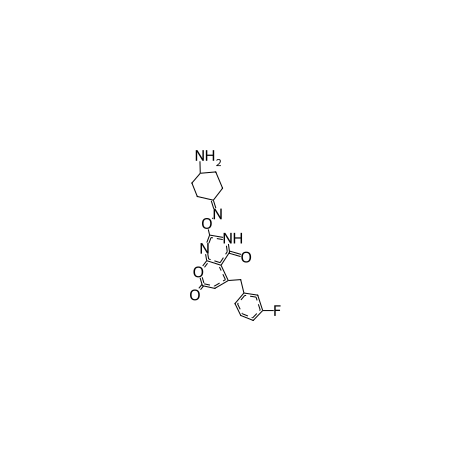 NC1CCC(=NOc2nc3oc(=O)cc(Cc4cccc(F)c4)c3c(=O)[nH]2)CC1